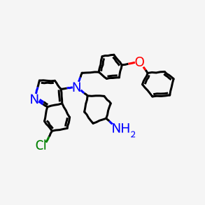 NC1CCC(N(Cc2ccc(Oc3ccccc3)cc2)c2ccnc3cc(Cl)ccc23)CC1